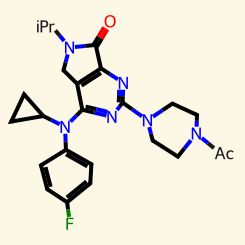 CC(=O)N1CCN(c2nc3c(c(N(c4ccc(F)cc4)C4CC4)n2)CN(C(C)C)C3=O)CC1